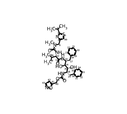 CC(C)c1nc(CN(C)C(=O)N[C@H](C(=O)N[C@@H](Cc2ccccc2)[C@H](O)[C@H](O)[C@H](Cc2ccccc2)NC(=O)OCc2ccno2)C(C)C)cs1